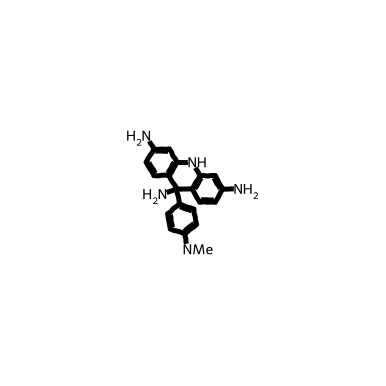 CNc1ccc(C2(N)c3ccc(N)cc3Nc3cc(N)ccc32)cc1